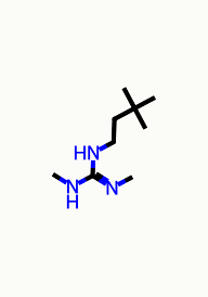 C/N=C(/NC)NCCC(C)(C)C